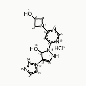 Cl.OC1CN(c2cc(N3NC=C(n4ccnn4)C3O)ncn2)C1